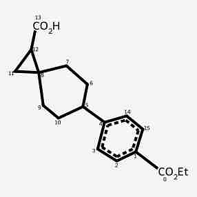 CCOC(=O)c1ccc(C2CCC3(CC2)CC3C(=O)O)cc1